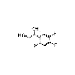 C[C](CO)c1cc(F)c(F)cc1F